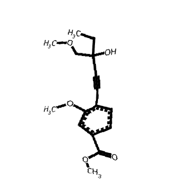 CCC(O)(C#Cc1ccc(C(=O)OC)cc1OC)COC